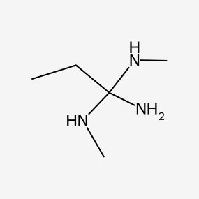 CCC(N)(NC)NC